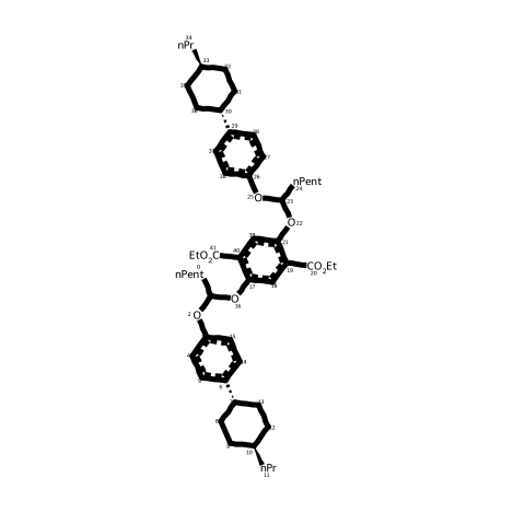 CCCCCC(Oc1ccc([C@H]2CC[C@H](CCC)CC2)cc1)Oc1cc(C(=O)OCC)c(OC(CCCCC)Oc2ccc([C@H]3CC[C@H](CCC)CC3)cc2)cc1C(=O)OCC